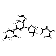 CC(NC(=O)O[C@H]1CN(c2cc(-c3c[nH]c(=O)[nH]c3=O)nn3ccnc23)CC1(F)F)C(F)F